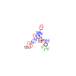 CCc1c(N2CCN(C(=O)OC(C)(C)C)CC2)c(=O)n2nc(C3=CCOCC3)nc2n1CC(=O)Nc1cc(F)c(C(F)F)cc1C